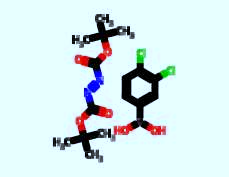 CC(C)(C)OC(=O)N=NC(=O)OC(C)(C)C.OB(O)c1ccc(Cl)c(Cl)c1